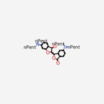 CCCCCN(CCCCC)c1ccc2c(c1)OC(=C1OC(=O)c3ccc(N(CCCCC)CCCCC)cc31)C2=O